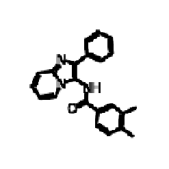 Cc1ccc(C(=O)Nc2c(-c3ccccc3)nc3ccccn23)cc1C